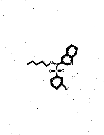 CCCCCON(c1cnc2ccccc2c1)S(=O)(=O)c1cccc(Br)c1